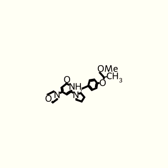 COC[C@@H](C)Oc1ccc(C[C@@H]2CCCN2c2cc(N3CCOCC3)cc(=O)[nH]2)cc1